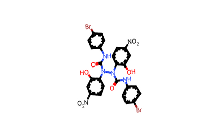 O=C(Nc1ccc(Br)cc1)N(c1ccc([N+](=O)[O-])cc1O)N(C(=O)Nc1ccc(Br)cc1)c1ccc([N+](=O)[O-])cc1O